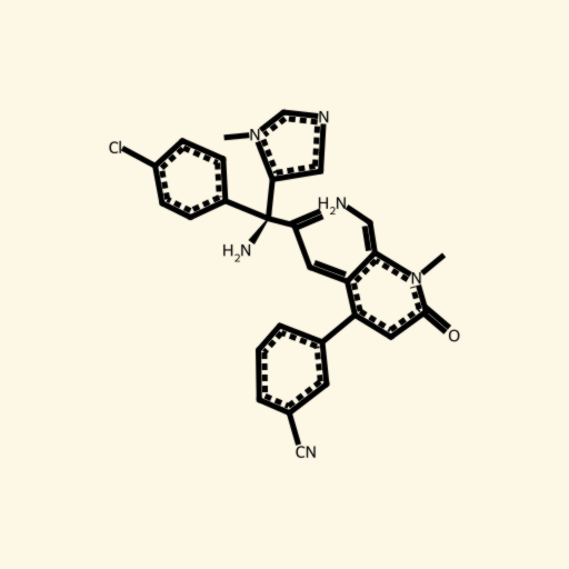 C=C(/C=c1/c(-c2cccc(C#N)c2)cc(=O)n(C)/c1=C/N)[C@](N)(c1ccc(Cl)cc1)c1cncn1C